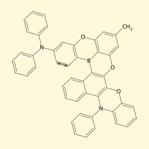 Cc1cc2c3c(c1)Oc1c4c(c5ccccc5c1B3c1c(cc(N(c3ccccc3)c3ccccc3)c3ccccc13)O2)N(c1ccccc1)c1ccccc1O4